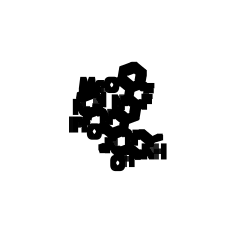 COc1cccc(F)c1-c1nc2c(cc1F)c1c(c(=O)n2-c2nccnc2C(C)C)N(C)C(=O)[C@H]2CN[C@H](C)CN12